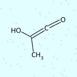 CC(O)=C=O